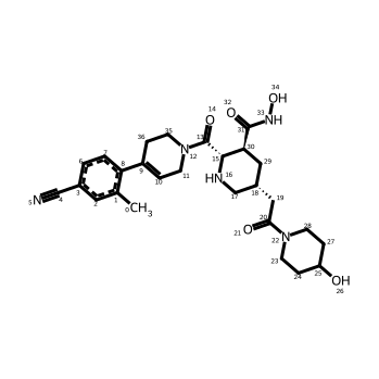 Cc1cc(C#N)ccc1C1=CCN(C(=O)[C@H]2NC[C@@H](CC(=O)N3CCC(O)CC3)C[C@@H]2C(=O)NO)CC1